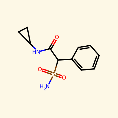 NS(=O)(=O)C(C(=O)NC1CC1)c1ccccc1